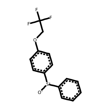 [O-][S+](c1ccccc1)c1ccc(OCC(F)(F)F)cc1